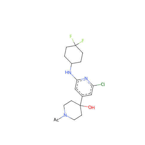 CC(=O)N1CCC(O)(c2cc(Cl)nc(NC3CCC(F)(F)CC3)c2)CC1